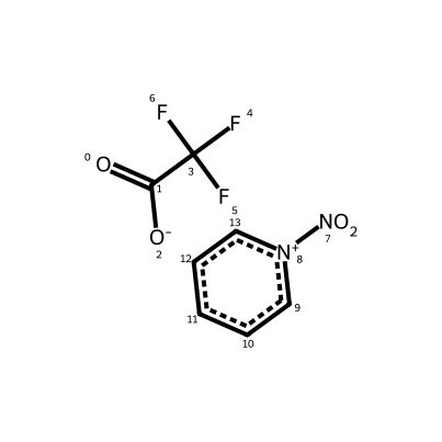 O=C([O-])C(F)(F)F.O=[N+]([O-])[n+]1ccccc1